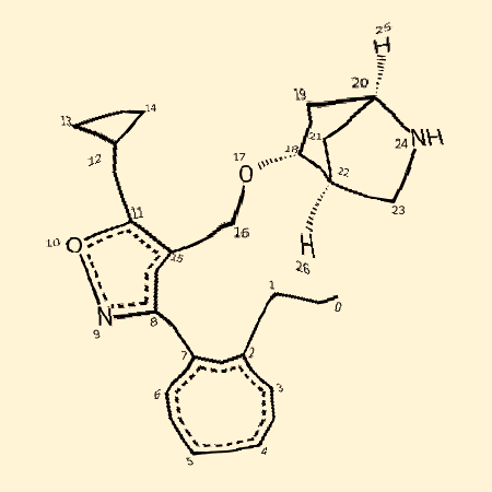 CCc1ccccc1-c1noc(C2CC2)c1CO[C@@H]1C[C@@H]2C[C@H]1CN2